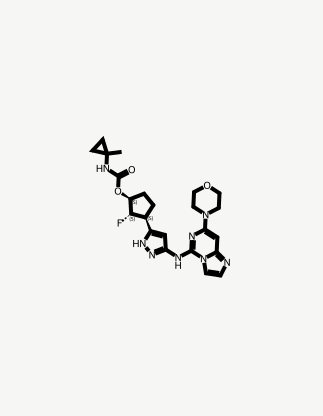 CC1(NC(=O)O[C@H]2CC[C@@H](c3cc(Nc4nc(N5CCOCC5)cc5nccn45)n[nH]3)[C@@H]2F)CC1